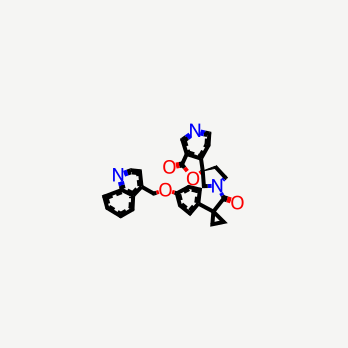 O=C1O[C@]2(CCN(C(=O)C3(c4ccc(OCc5ccnc6ccccc56)cc4)CC3)C2)c2ccncc21